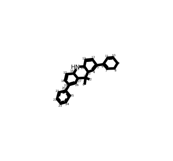 CC1(C)C2C=C(C3=CCCC=C3)C=CC2NC2C=CC(c3ccccc3)=CC21